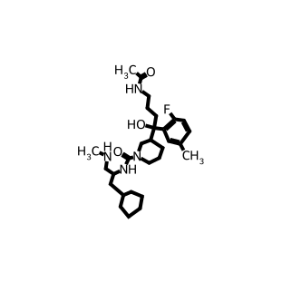 CNCC(CC1CCCCC1)NC(=O)N1CCCC(C(O)(CCCNC(C)=O)c2cc(C)ccc2F)C1